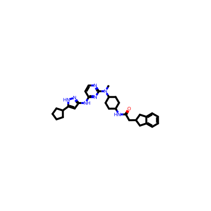 CN(c1nccc(Nc2cc(C3CCCC3)[nH]n2)n1)C1CCC(NC(=O)CC2Cc3ccccc3C2)CC1